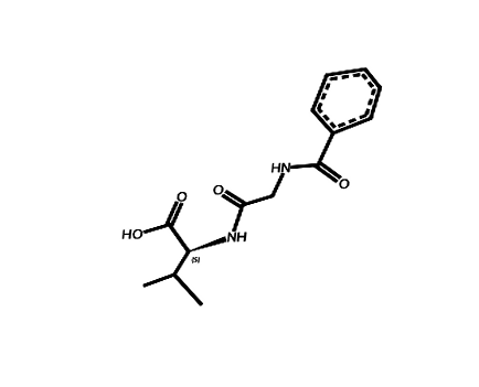 CC(C)[C@H](NC(=O)CNC(=O)c1ccccc1)C(=O)O